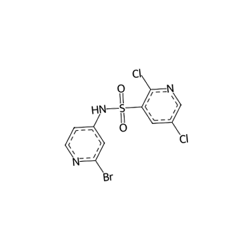 O=S(=O)(Nc1ccnc(Br)c1)c1cc(Cl)cnc1Cl